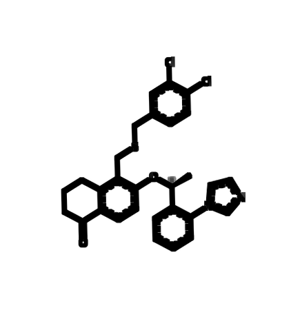 C[C@H](Oc1ccc2c(c1CSCc1ccc(Cl)c(Cl)c1)CCCC2=O)c1ccccc1-n1ccnc1